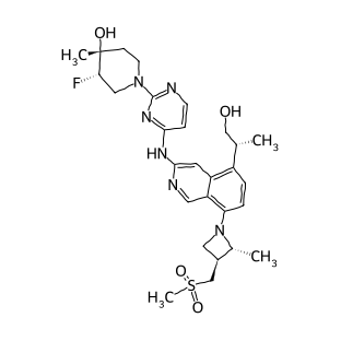 C[C@@H]1[C@@H](CS(C)(=O)=O)CN1c1ccc([C@@H](C)CO)c2cc(Nc3ccnc(N4CC[C@@](C)(O)[C@@H](F)C4)n3)ncc12